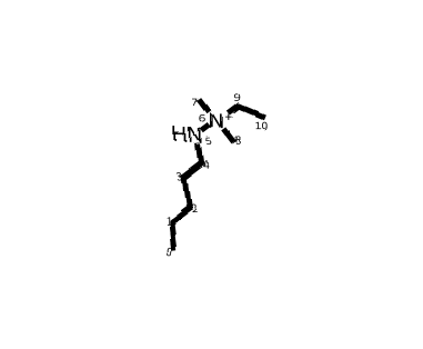 CCCCCN[N+](C)(C)CC